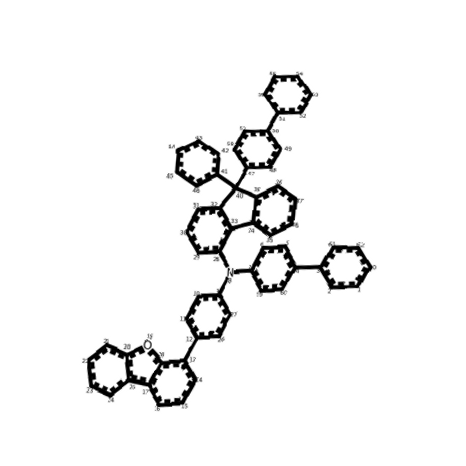 c1ccc(-c2ccc(N(c3ccc(-c4cccc5c4oc4ccccc45)cc3)c3cccc4c3-c3ccccc3C4(c3ccccc3)c3ccc(-c4ccccc4)cc3)cc2)cc1